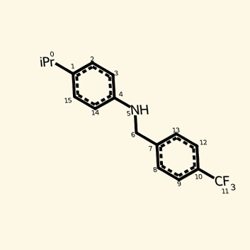 CC(C)c1ccc(NCc2ccc(C(F)(F)F)cc2)cc1